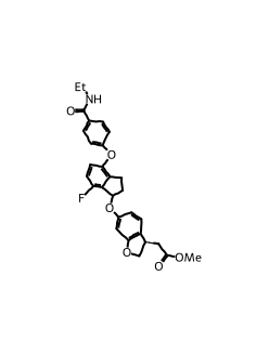 CCNC(=O)c1ccc(Oc2ccc(F)c3c2CCC3Oc2ccc3c(c2)OC[C@@H]3CC(=O)OC)cc1